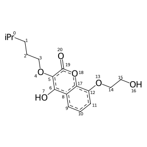 CC(C)CCCOc1c(O)c2cccc(OCCO)c2oc1=O